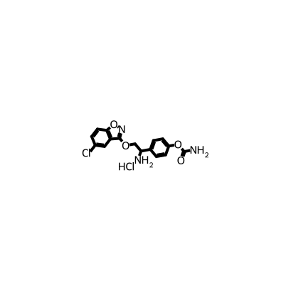 Cl.NC(=O)Oc1ccc(C(N)COc2noc3ccc(Cl)cc23)cc1